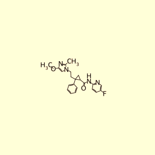 COc1cn(CCC2(c3ccccc3)CC2C(=O)Nc2ccc(F)cn2)c(C)n1